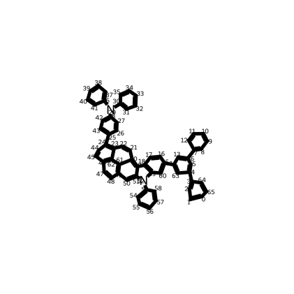 c1ccc(-c2cc(-c3ccccc3)cc(-c3ccc4c5c6ccc7c(-c8ccc(N(c9ccccc9)c9ccccc9)cc8)ccc8ccc(cc5n(-c5ccccc5)c4c3)c6c87)c2)cc1